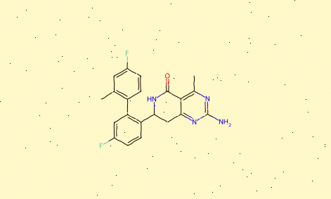 Cc1cc(F)ccc1-c1cc(F)ccc1C1Cc2nc(N)nc(C)c2C(=O)N1